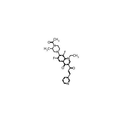 CCn1cc(C(=O)C=Cc2cccnc2)c(=O)c2cc(F)c(N3CCN(C(C)=O)C(C)C3)c(F)c21